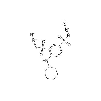 [N-]=[N+]=NS(=O)(=O)c1ccc(NC2CCCCC2)c(S(=O)(=O)N=[N+]=[N-])c1